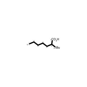 CC(C)(C)C(CCCCI)C(=O)O